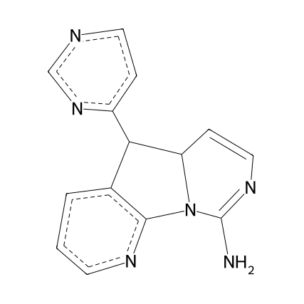 NC1=NC=CC2C(c3ccncn3)c3cccnc3N12